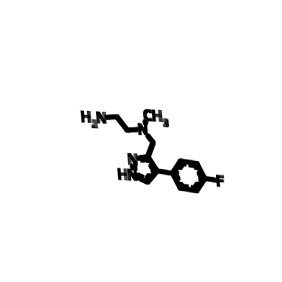 CN(CCN)Cc1n[nH]cc1-c1ccc(F)cc1